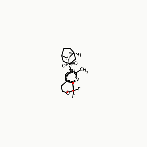 Cc1nc(C(F)(F)F)ccc1S(=O)(=O)N1C2CC[C@H]1C[C@H](NCC1CCOCC1)C2